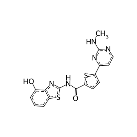 CNc1nccc(-c2ccc(C(=O)Nc3nc4c(O)cccc4s3)s2)n1